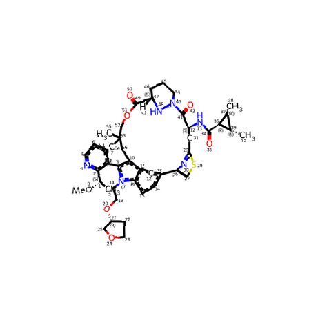 CO[C@@H](C)c1ncccc1-c1c2c3cc(ccc3n1CCO[C@@H]1CCOC1)C1CSC(=N1)C[C@H](NC(=O)[C@H]1[C@H](C)[C@@H]1C)C(=O)N1CCC[C@H](N1)C(=O)OCC(C)(C)C2